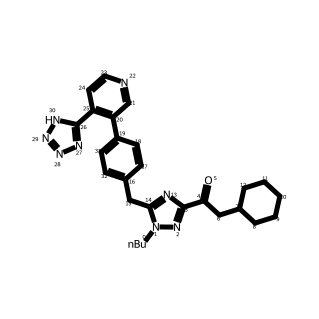 CCCCn1nc(C(=O)CC2CCCCC2)nc1Cc1ccc(-c2cnccc2-c2nnn[nH]2)cc1